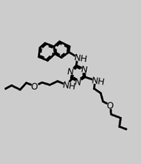 CCCCOCCCNc1nc(NCCCOCCCC)nc(Nc2ccc3ccccc3c2)n1